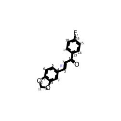 O=C(/C=C/c1ccc2c(c1)OCO2)c1ccc(F)cc1